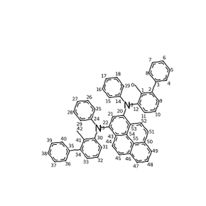 Cc1c(-c2ccccc2)cccc1N(c1ccccc1)c1cc(N(c2ccccc2)c2cccc(-c3ccccc3)c2C)c2ccc3cccc4ccc1c2c43